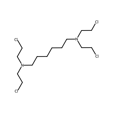 ClCCN(CCCl)CCCCCCN(CCCl)CCCl